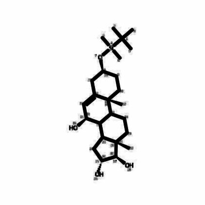 CC(C)(C)[Si](C)(C)O[C@H]1CC[C@@]2(C)C(=C[C@H](O)C3C2CC[C@@]2(C)C3C[C@@H](O)[C@@H]2O)C1